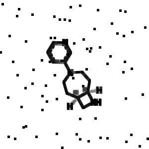 c1cncc(N2CC[C@@H]3CN[C@@H]3CC2)c1